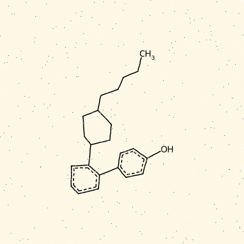 CCCCCC1CCC(c2ccccc2-c2ccc(O)cc2)CC1